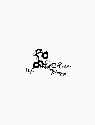 CCCCOC(=O)N1CCN(C(=O)[C@H](CCC(=O)OCCOCC)NC(=O)c2cc(OCC(=O)N3CCC[C@H]3c3ccccc3)c3ccc(C)cc3n2)CC1